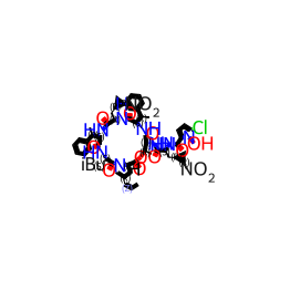 C/C=C\[C@H]1C[C@H]2C(=O)O[C@H](C)[C@@H](NC(=O)[C@H](C[C@@H]3C[C@H]3[N+](=O)[O-])NC(=O)c3ccc(Cl)n3O)C(=O)N[C@@H]([C@H](C)c3ccccc3)C(=O)N[C@H](C[C@@H]3C[C@H]3[N+](=O)[O-])C(=O)N[C@@H]([C@H](C)c3ccccc3)C(=O)N[C@@H]([C@@H](C)CC)C(=O)N2C1